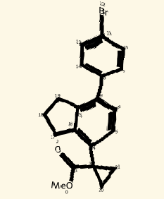 COC(=O)C1(c2ccc(-c3ccc(Br)cc3)c3c2CCC3)CC1